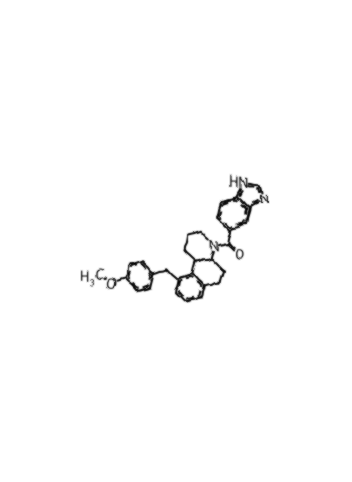 COc1ccc(Cc2cccc3c2C2CCCN(C(=O)c4ccc5[nH]cnc5c4)C2CC3)cc1